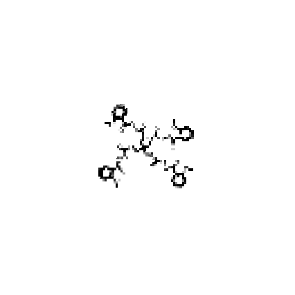 COc1ccccc1C(=O)OOC(=O)OCC(COC(=O)OOC(=O)c1ccccc1OC)(COC(=O)OOC(=O)c1ccccc1OC)COC(=O)OOC(=O)c1ccccc1OC